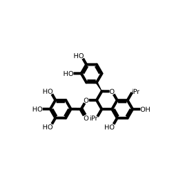 CC(C)c1c(O)cc(O)c2c1O[C@H](c1ccc(O)c(O)c1)C(OC(=O)c1cc(O)c(O)c(O)c1)C2C(C)C